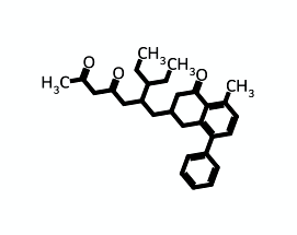 CCC(CC)C(CC(=O)CC(C)=O)CC1CC(=O)c2c(C)ccc(-c3ccccc3)c2C1